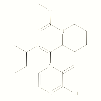 C=C1C(N)=NC=CN1/C(=N\C(C)CC)C1CCCCN1C(=O)OC